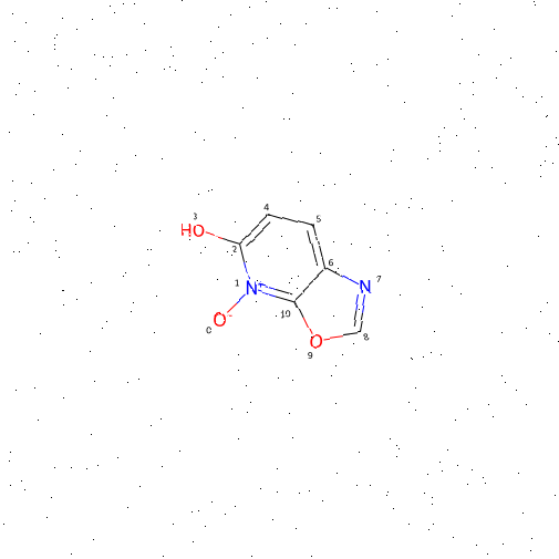 [O-][n+]1c(O)ccc2ncoc21